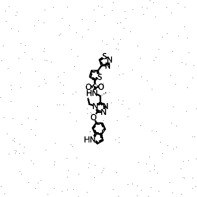 CCn1c(Oc2ccc3cc[nH]c3c2)nnc1[C@@H](C)NS(=O)(=O)c1ccc(-c2csnn2)s1